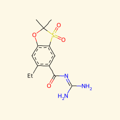 CCc1cc2c(cc1C(=O)N=C(N)N)S(=O)(=O)C(C)(C)O2